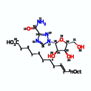 CCCCCCCC/C=C/CCCCCCCC(=O)O.NC(=O)c1ncn([C@@H]2O[C@H](CO)[C@@H](O)[C@H]2O)n1